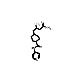 CC(CC(N)=O)CC1CCC(C(=O)Nc2ccncc2)CC1